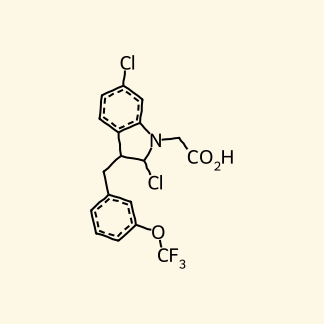 O=C(O)CN1c2cc(Cl)ccc2C(Cc2cccc(OC(F)(F)F)c2)C1Cl